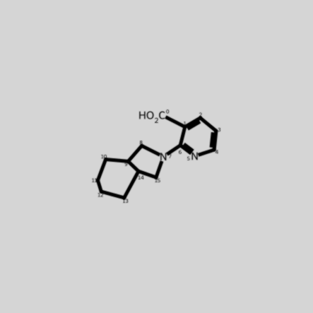 O=C(O)c1cccnc1N1CC2CCCCC2C1